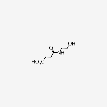 O=C(O)CCC(=O)NCCO